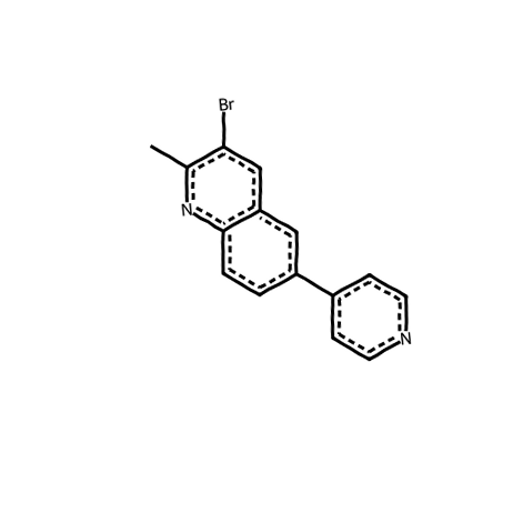 Cc1nc2ccc(-c3ccncc3)cc2cc1Br